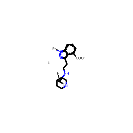 CCn1nc(CCN[C@@H]2CN3CCC2CC3)c2c(C(=O)[O-])cccc21.[Li+]